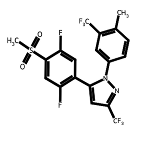 Cc1ccc(-n2nc(C(F)(F)F)cc2-c2cc(F)c(S(C)(=O)=O)cc2F)cc1C(F)(F)F